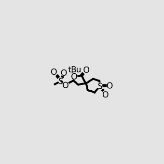 CC(C)(C)OC(=O)C1(CCOS(C)(=O)=O)CCS(=O)(=O)CC1